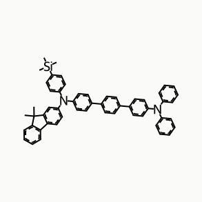 CC1(C)c2ccccc2-c2ccc(N(c3ccc(-c4ccc(-c5ccc(N(c6ccccc6)c6ccccc6)cc5)cc4)cc3)c3ccc([Si](C)(C)C)cc3)cc21